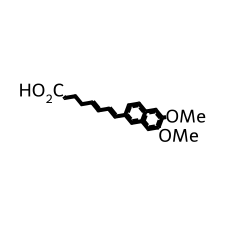 COc1cc2ccc(/C=C/C=C/CCCC(=O)O)cc2cc1OC